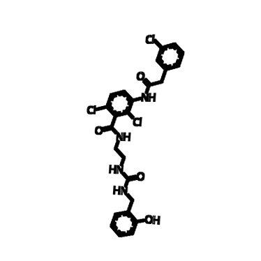 O=C(Cc1cccc(Cl)c1)Nc1ccc(Cl)c(C(=O)NCCNC(=O)NCc2ccccc2O)c1Cl